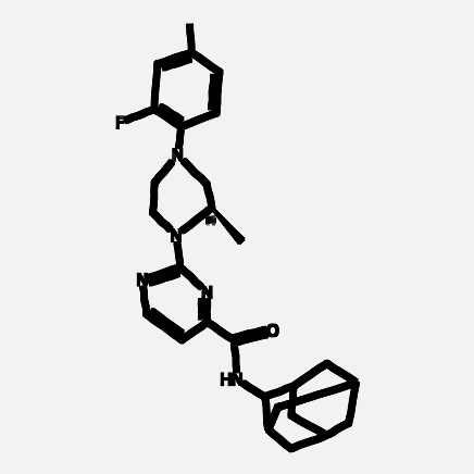 Cc1ccc(N2CCN(c3nccc(C(=O)NC4C5CC6CC(C5)CC4C6)n3)[C@H](C)C2)c(F)c1